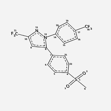 CS(=O)(=O)c1ccc(-c2cc(C(F)(F)F)nn2-c2ccc(C(F)(F)F)cc2)cc1